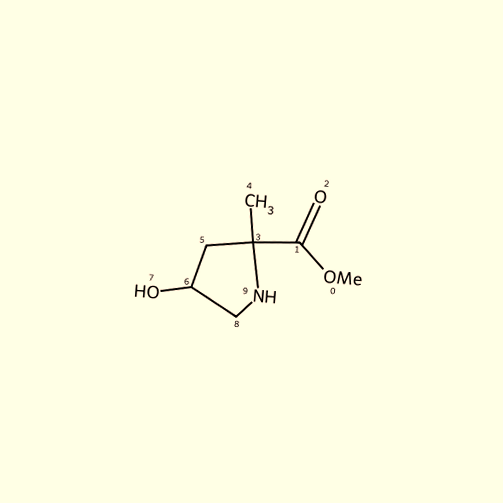 COC(=O)C1(C)CC(O)CN1